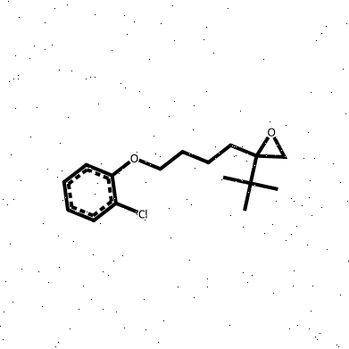 CC(C)(C)C1(CCCCOc2ccccc2Cl)CO1